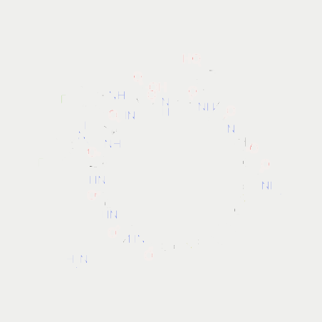 CC1(C)NC(=O)[C@H](CC(=O)O)NC(=O)[C@H](Cc2c[nH]c3ccc(F)cc23)NC(=O)[C@H](Cc2c[nH]c3ccc(F)cc23)NC(=O)CNC(=O)[C@H](CCCCN)NC(=O)CCSCc2cccc(c2)CSC[C@@H](C(N)=O)CC(=O)[C@@H]2CCCN2C(=O)[C@H](Cc2ccc(O)cc2)NC1=O